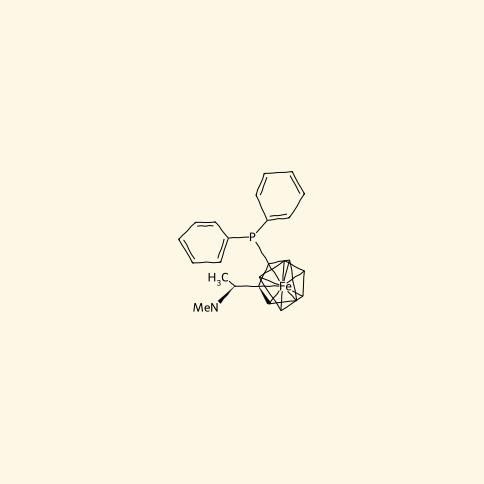 CN[C@@H](C)[C@]12[CH]3[CH]4[CH]5[C]1(P(c1ccccc1)c1ccccc1)[Fe]45321678[CH]2[CH]1[CH]6[CH]7[CH]28